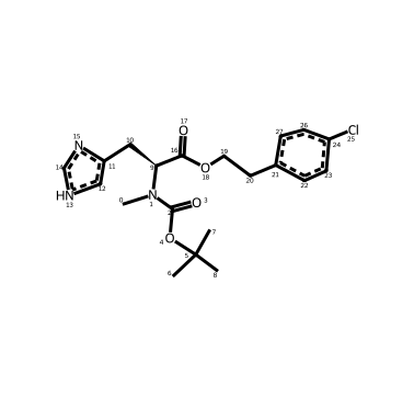 CN(C(=O)OC(C)(C)C)[C@@H](Cc1c[nH]cn1)C(=O)OCCc1ccc(Cl)cc1